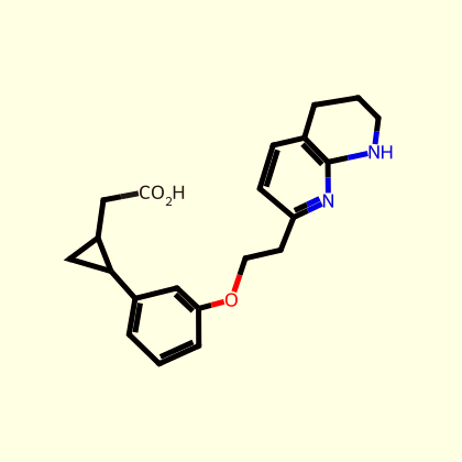 O=C(O)CC1CC1c1cccc(OCCc2ccc3c(n2)NCCC3)c1